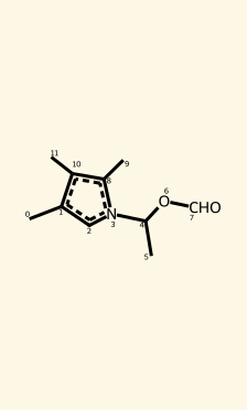 Cc1cn(C(C)OC=O)c(C)c1C